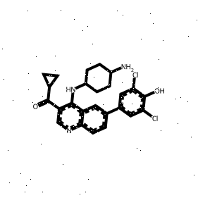 NC1CCC(Nc2c(C(=O)C3CC3)cnc3ccc(-c4cc(Cl)c(O)c(Cl)c4)cc23)CC1